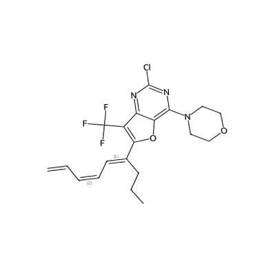 C=C/C=C\C=C(/CCC)c1oc2c(N3CCOCC3)nc(Cl)nc2c1C(F)(F)F